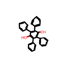 Oc1c(-c2ccccc2)c(-c2ccccc2)c(O)c(-c2ccccc2)c1-c1ccccc1